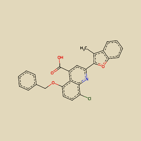 Cc1c(-c2cc(C(=O)O)c3c(OCc4ccccc4)ccc(Cl)c3n2)oc2ccccc12